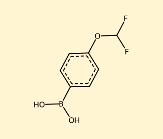 OB(O)c1ccc(OC(F)F)cc1